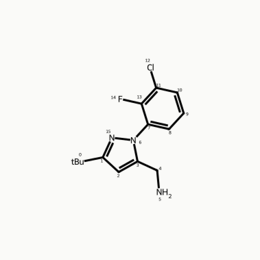 CC(C)(C)c1cc(CN)n(-c2cccc(Cl)c2F)n1